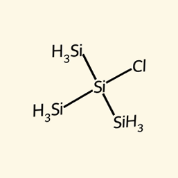 [SiH3][Si]([SiH3])([SiH3])Cl